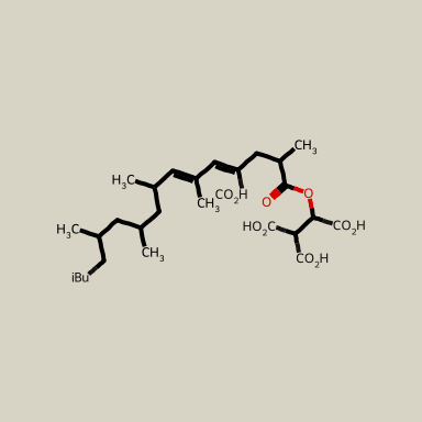 CCC(C)CC(C)CC(C)CC(C)/C=C(C)/C=C(/CC(C)C(=O)OC(C(=O)O)C(C(=O)O)C(=O)O)C(=O)O